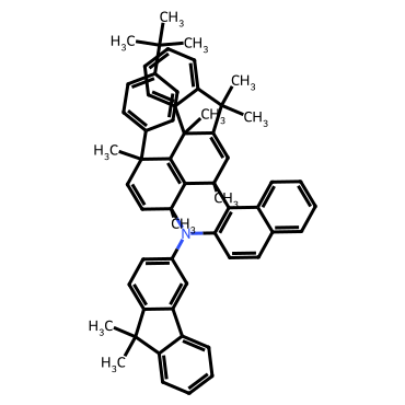 CC(C)(C)c1ccc(C2(C)C=CC3(C)C4=C2C2(C)C(=CC4(C)c4c(ccc5ccccc45)N3c3ccc4c(c3)-c3ccccc3C4(C)C)C(C)(C)c3ccccc32)cc1